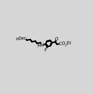 CCCCCCCCCCCCCCCCNc1ccc(C(=O)CC(=O)OCC)cc1F